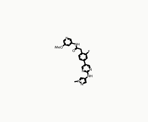 COc1cncc(NC(=O)Cc2ccc(-c3cnc(Nc4cnn(C)c4)nc3)cc2F)c1